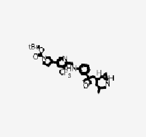 CC1C=N[C@@H]2C[C@@H]2C(CC2(c3cccc(NCc4ncc(C5CCN(C(=O)OC(C)(C)C)C5)cc4C(F)(F)F)c3)COC2)C1